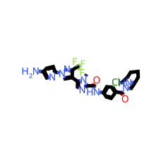 Cn1c(-c2cn(-c3ccc(N)cn3)nc2C(F)(F)F)cnc1C(=O)Nc1ccc(C(=O)N2CC3CCCC(C2)N3)c(Cl)c1